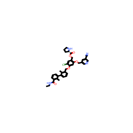 CCNC(=O)c1cccc(-c2cccc(COc3cc(OCc4cncc(C#N)c4)c(COC(=O)[C@@H]4CCCN4)cc3Cl)c2C)c1C